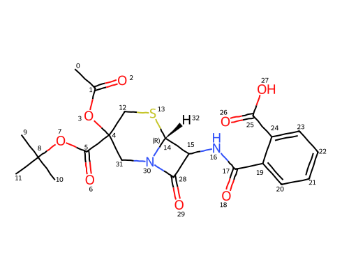 CC(=O)OC1(C(=O)OC(C)(C)C)CS[C@@H]2C(NC(=O)c3ccccc3C(=O)O)C(=O)N2C1